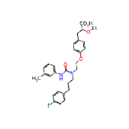 CCOC(Cc1ccc(OCCN(CCCc2ccc(F)cc2)C(=O)Nc2cccc(C)c2)cc1)C(=O)O